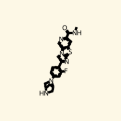 CNC(=O)c1cc2sc3nc(-c4ccc(N5CC6CC5CN6)cc4F)cn3c2cn1